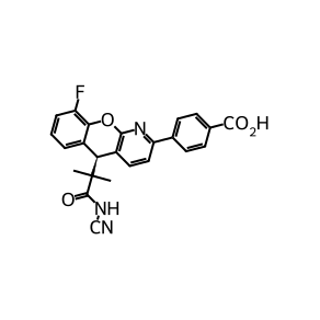 CC(C)(C(=O)NC#N)[C@@H]1c2ccc(-c3ccc(C(=O)O)cc3)nc2Oc2c(F)cccc21